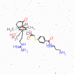 C[C@@H]1CC[C@@]23CCC(=O)[C@H]2[C@]1(C)[C@H](OC(=O)CSc1ccc(C(=O)NCCCN)cc1)C[C@](C)(CCNC(=N)N)[C@@H](O)[C@@H]3C